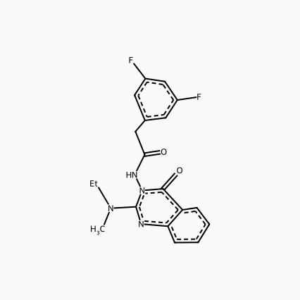 CCN(C)c1nc2ccccc2c(=O)n1NC(=O)Cc1cc(F)cc(F)c1